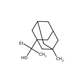 CCC(C)(O)C12CC3CC(CC(C)(C3)C1)C2